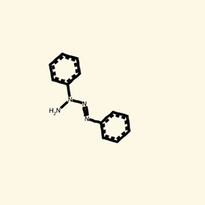 NN(N=Nc1ccccc1)c1ccccc1